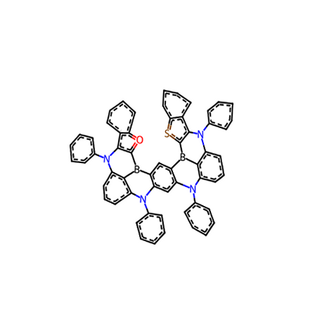 c1ccc(N2c3cc4c(cc3B3c5oc6ccccc6c5N(c5ccccc5)c5cccc2c53)B2c3sc5ccccc5c3N(c3ccccc3)c3cccc(c32)N4c2ccccc2)cc1